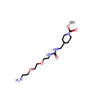 CC(C)(C)OC(=O)N1CCC(CNC(=O)NCCOCCOCCN)CC1